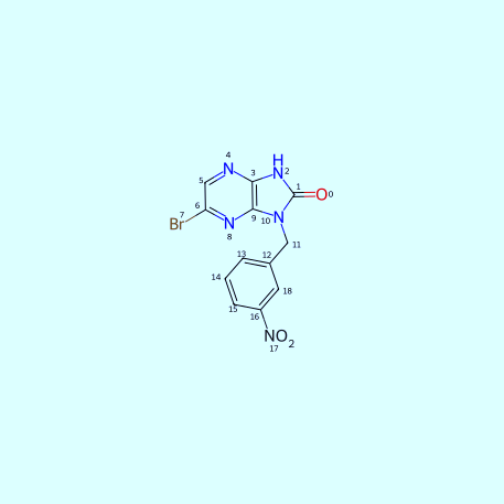 O=c1[nH]c2ncc(Br)nc2n1Cc1cccc([N+](=O)[O-])c1